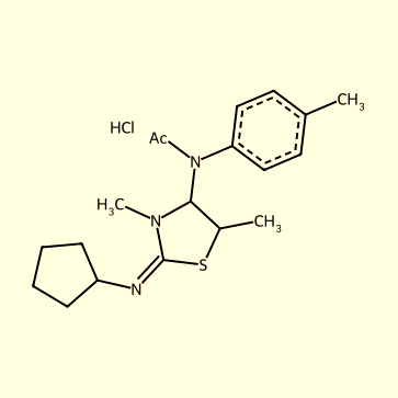 CC(=O)N(c1ccc(C)cc1)C1C(C)SC(=NC2CCCC2)N1C.Cl